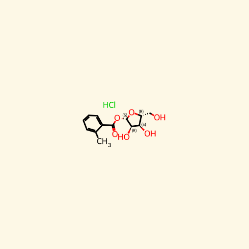 Cc1ccccc1C(=O)O[C@@H]1O[C@H](CO)[C@@H](O)[C@H]1O.Cl